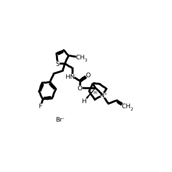 C=CC[N+]12CCC(CC1)[C@@H](OC(=O)NCC1(CCc3ccc(F)cc3)SC=CC1C)C2.[Br-]